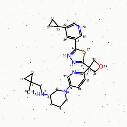 CC1(CN[C@@H]2CCCN(c3ccc(C4(c5nnc(-c6cncc(C7CC7)c6)s5)COC4)nc3)C2)CC1